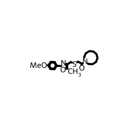 COc1ccc(-c2nc(CSCC(=O)N3CCCCCCCCC3)c(C)o2)cc1